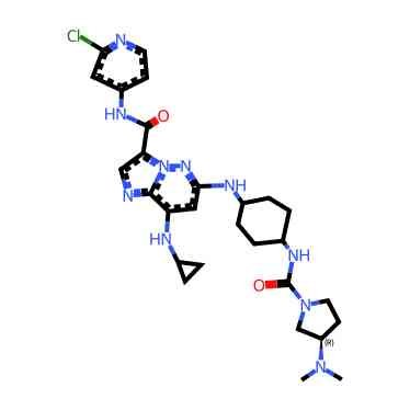 CN(C)[C@@H]1CCN(C(=O)NC2CCC(Nc3cc(NC4CC4)c4ncc(C(=O)Nc5ccnc(Cl)c5)n4n3)CC2)C1